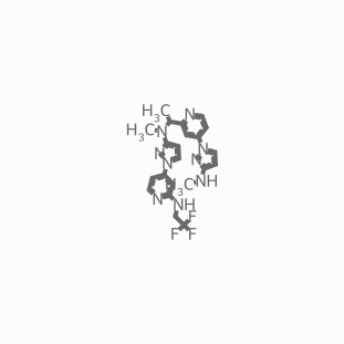 CNc1ccn(-c2ccnc(C(C)N(C)c3ccn(-c4ccnc(NCC(F)(F)F)c4)n3)c2)n1